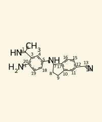 CC(=N)c1cc(NC2CCc3cc(C#N)ccc32)ccc1N